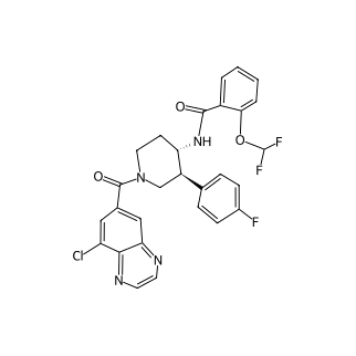 O=C(N[C@H]1CCN(C(=O)c2cc(Cl)c3nccnc3c2)C[C@@H]1c1ccc(F)cc1)c1ccccc1OC(F)F